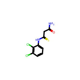 NC(=O)CC(=S)Nc1cccc(Cl)c1Cl